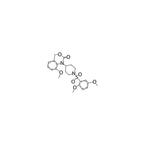 COc1ccc(OC)c(S(=O)(=O)N2CCC(N3C(=O)OCc4cccc(OC)c43)CC2)c1